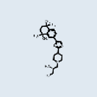 CC1(C)CCC(C)(C)c2cc(-c3csc(C4CCN(C[C@H](N)CO)CC4)n3)ccc21